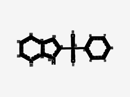 O=S(=O)(c1ccccc1)c1cc2cccnc2[nH]1